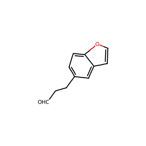 O=CCCc1ccc2occc2c1